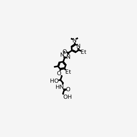 CCc1cc(-c2nc(-c3cc(C)c(OCC(O)CNC(=O)CO)c(CC)c3)no2)cc(N(C)C)n1